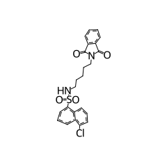 O=C1c2ccccc2C(=O)N1CCCCCNS(=O)(=O)c1cccc2c(Cl)cccc12